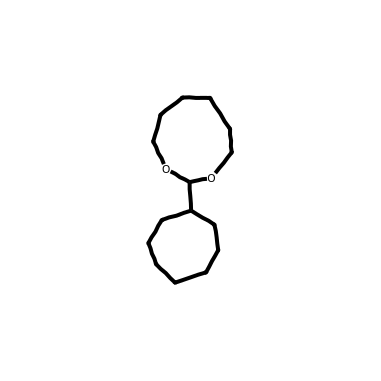 C1CCCC(C2OCCCCCCO2)CCC1